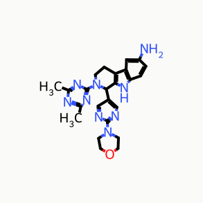 Cc1nc(C)nc(N2CCc3c([nH]c4ccc(N)cc34)C2c2cnc(N3CCOCC3)nc2)n1